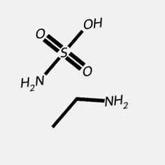 CCN.NS(=O)(=O)O